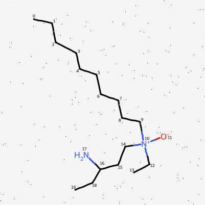 CCCCCCCCCC[N+]([O-])(CC)CCC(N)CC